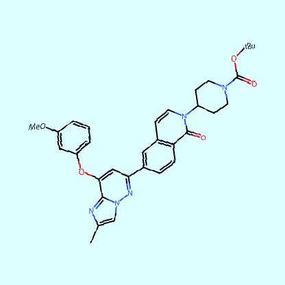 COc1cccc(Oc2cc(-c3ccc4c(=O)n(C5CCN(C(=O)OC(C)(C)C)CC5)ccc4c3)nn3cc(C)nc23)c1